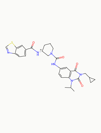 CC(C)n1c(=O)n(CC2CC2)c(=O)c2cc(NC(=O)N3CCC[C@@H](NC(=O)c4ccc5ncsc5c4)C3)ccc21